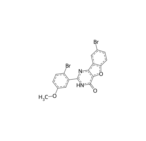 COc1ccc(Br)c(-c2nc3c(oc4ccc(Br)cc43)c(=O)[nH]2)c1